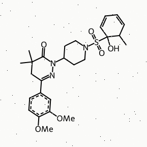 COc1ccc(C2=NN(C3CCN(S(=O)(=O)C4(O)C=CC=CC4C)CC3)C(=O)C(C)(C)C2)cc1OC